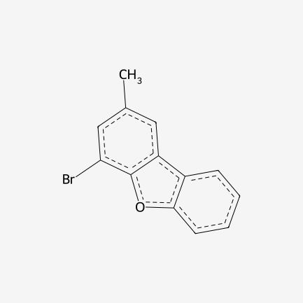 Cc1cc(Br)c2oc3ccccc3c2c1